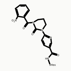 CCCCCCNC(=O)c1ccc(N2CCCN(C(=O)c3ccccc3[N+](=O)[O-])C2=O)nc1